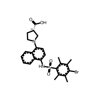 Cc1c(C)c(S(=O)(=O)Nc2ccc(N3CC[C@H](C(=O)O)C3)c3ccccc23)c(C)c(C)c1Br